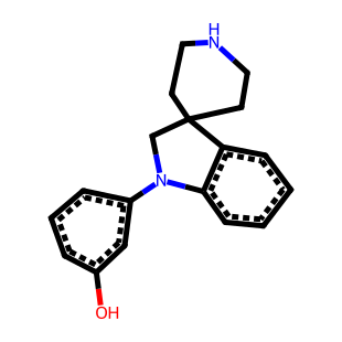 Oc1cccc(N2CC3(CCNCC3)c3ccccc32)c1